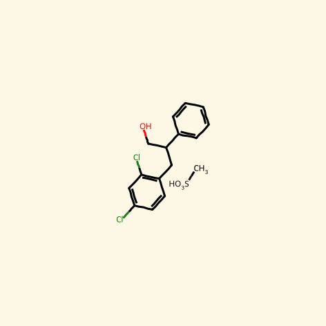 CS(=O)(=O)O.OCC(Cc1ccc(Cl)cc1Cl)c1ccccc1